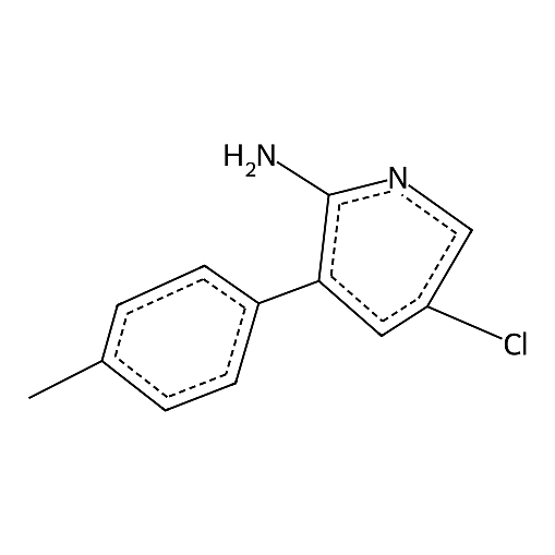 Cc1ccc(-c2cc(Cl)cnc2N)cc1